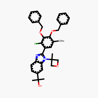 COc1cc(-c2nc3ccc(C(C)(C)O)cc3n2C2(C)COC2)c(F)c(OCc2ccccc2)c1OCc1ccccc1